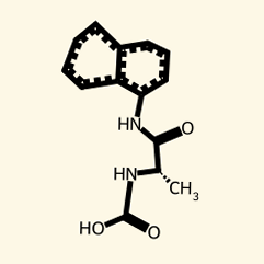 C[C@H](NC(=O)O)C(=O)Nc1cccc2ccccc12